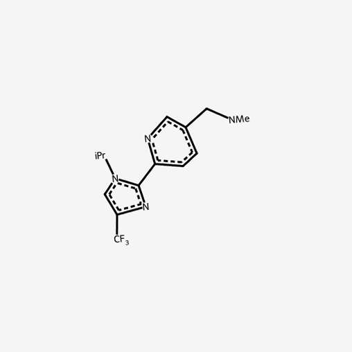 CNCc1ccc(-c2nc(C(F)(F)F)cn2C(C)C)nc1